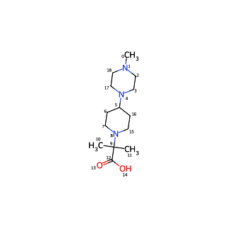 CN1CCN(C2CCN(C(C)(C)C(=O)O)CC2)CC1